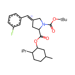 CC1CCC(C(C)C)C(OC(=O)C2C/C(=C\c3cccc(F)c3)CN2C(=O)OC(C)(C)C)C1